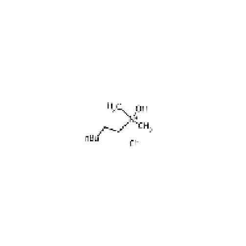 CCCCCC[N+](C)(C)O.[Cl-]